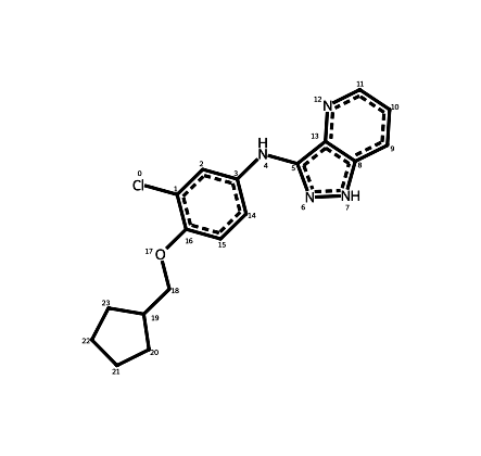 Clc1cc(Nc2n[nH]c3cccnc23)ccc1OCC1CCCC1